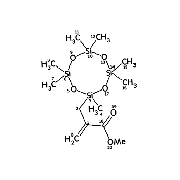 C=C(C[Si]1(C)O[Si](C)(C)O[Si](C)(C)O[Si](C)(C)O1)C(=O)OC